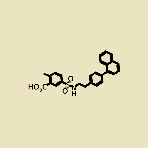 Cc1ccc(S(=O)(=O)NCCc2ccc(-c3cccc4ccccc34)cc2)cc1C(=O)O